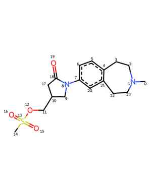 CN1CCc2ccc(N3CC(COS(C)(=O)=O)CC3=O)cc2CC1